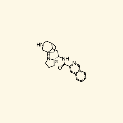 O=C(NC(CC1C2CCC1CNC2)[C@@H]1CCCN1)c1cc2ccccc2cn1